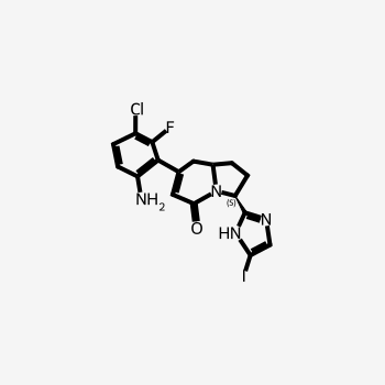 Nc1ccc(Cl)c(F)c1C1=CC(=O)N2C(CC[C@H]2c2ncc(I)[nH]2)C1